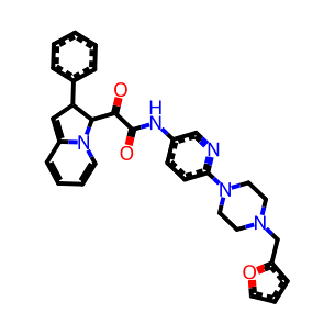 O=C(Nc1ccc(N2CCN(Cc3ccco3)CC2)nc1)C(=O)C1C(c2ccccc2)C=C2C=CC=CN21